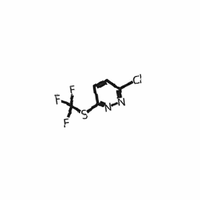 FC(F)(F)Sc1ccc(Cl)nn1